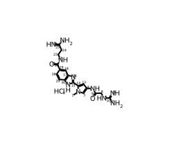 Cl.Cn1cc(NC(=O)CNC(=N)N)cc1-c1nc2cc(C(=O)NCCC(=N)N)ccc2[nH]1